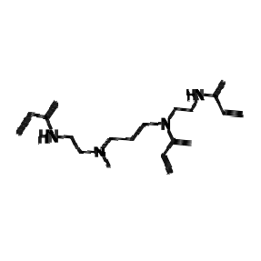 C=CC(=C)NCCN(C)CCCN(CCNC(=C)C=C)C(=C)C=C